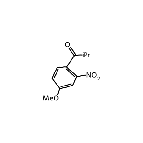 COc1ccc(C(=O)C(C)C)c([N+](=O)[O-])c1